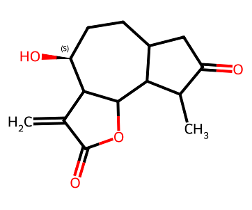 C=C1C(=O)OC2C3C(CC[C@H](O)C12)CC(=O)C3C